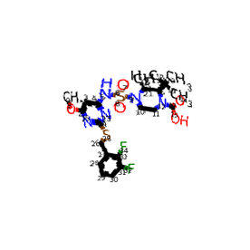 COc1cc(NS(=O)(=O)N2CCN(C(=O)O)C(C(C)(C)C)[C@@H]2C)nc(SCc2cccc(F)c2F)n1